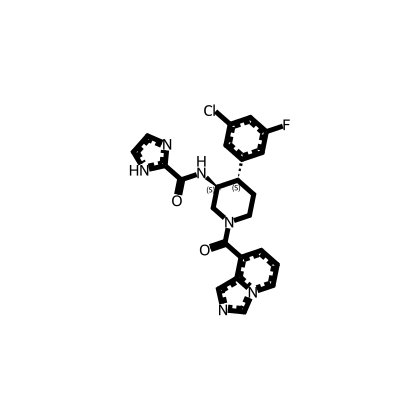 O=C(N[C@@H]1CN(C(=O)c2cccn3cncc23)CC[C@H]1c1cc(F)cc(Cl)c1)c1ncc[nH]1